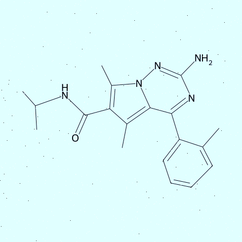 Cc1ccccc1-c1nc(N)nn2c(C)c(C(=O)NC(C)C)c(C)c12